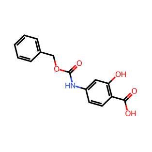 O=C(Nc1ccc(C(=O)O)c(O)c1)OCc1ccccc1